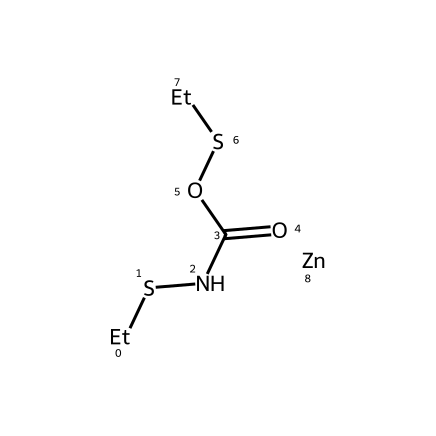 CCSNC(=O)OSCC.[Zn]